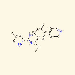 CCc1nc(C(N)CC(C)C)nc2cc(C)c(-c3ccncc3)cc12